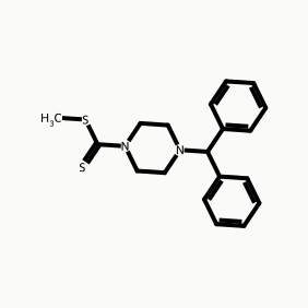 CSC(=S)N1CCN(C(c2ccccc2)c2ccccc2)CC1